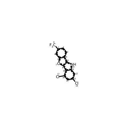 FC(F)(F)c1ccc2c(c1)oc1c2[nH]c2cc(Cl)cc(Cl)c21